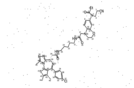 CCC(=O)N(CCC#N)c1ccc2c(c1)OCCN2CC(=O)NCCCCCNC(=O)C[C@@H]1N=C(c2ccc(Cl)cc2)c2c(sc(C)c2C)-n2c(C)nnc21